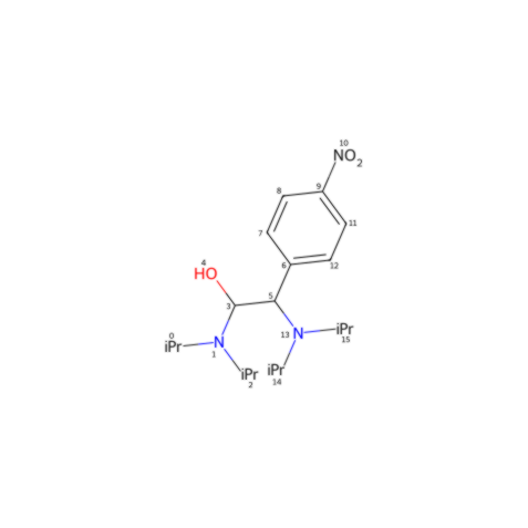 CC(C)N(C(C)C)C(O)C(c1ccc([N+](=O)[O-])cc1)N(C(C)C)C(C)C